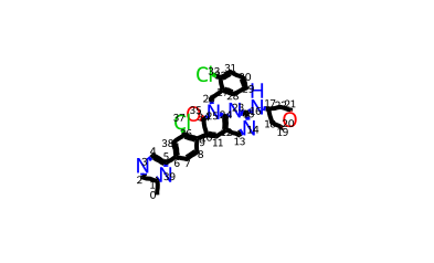 Cc1cncc(-c2ccc(-c3cc4cnc(NC5CCOCC5)nc4n(Cc4ccccc4Cl)c3=O)c(Cl)c2)n1